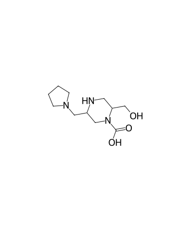 O=C(O)N1CC(CN2CCCC2)NCC1CO